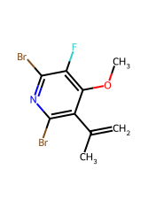 C=C(C)c1c(Br)nc(Br)c(F)c1OC